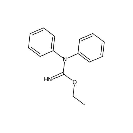 CCOC(=N)N(c1ccccc1)c1ccccc1